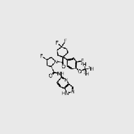 [2H]C([2H])([2H])Oc1ccc(C2(C(=O)N3C[C@H](F)C[C@@H]3C(=O)Nc3ccc4[nH]ncc4n3)CCC(F)(F)CC2)cc1F